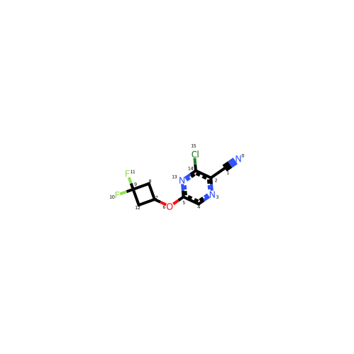 N#Cc1ncc(OC2CC(F)(F)C2)nc1Cl